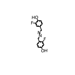 Oc1ccc(/C=N/N=C/c2ccc(O)c(F)c2)c(F)c1